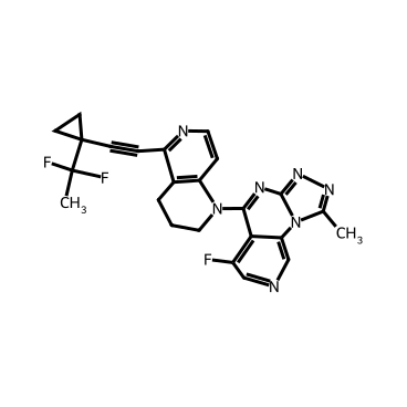 Cc1nnc2nc(N3CCCc4c3ccnc4C#CC3(C(C)(F)F)CC3)c3c(F)cncc3n12